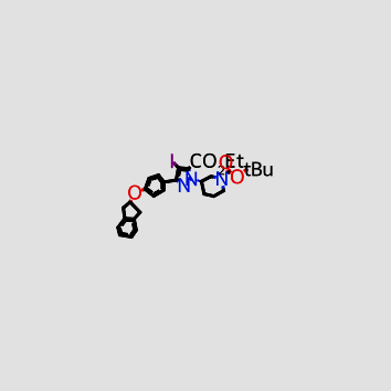 CCOC(=O)c1c(I)c(-c2ccc(OC3Cc4ccccc4C3)cc2)nn1[C@@H]1CCCN(C(=O)OC(C)(C)C)C1